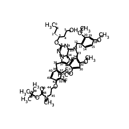 CCC[C@H](CCO)Oc1nc(N(Cc2ccc(OC)cc2OC)Cc2ccc(OC)cc2OC)c2ncc(Cc3ccc(OCCN(C)C(=O)OC(C)(C)C)c(F)c3F)n2n1